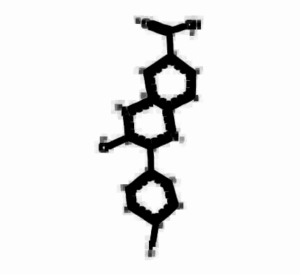 O=C(O)c1ccc2nc(-c3ccc(F)cc3)c(Cl)nc2c1